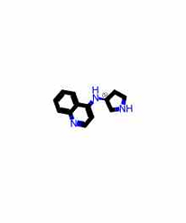 c1ccc2c(N[C@H]3CCNC3)ccnc2c1